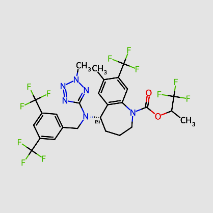 Cc1cc2c(cc1C(F)(F)F)N(C(=O)OC(C)C(F)(F)F)CCC[C@@H]2N(Cc1cc(C(F)(F)F)cc(C(F)(F)F)c1)c1nnn(C)n1